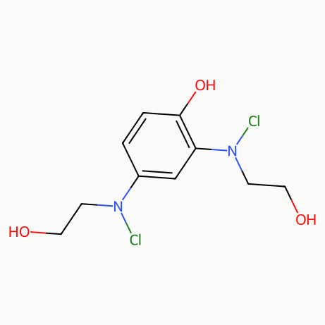 OCCN(Cl)c1ccc(O)c(N(Cl)CCO)c1